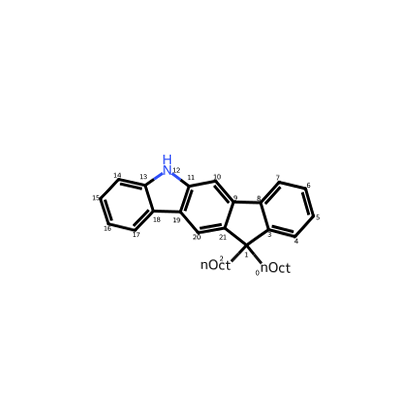 CCCCCCCCC1(CCCCCCCC)c2ccccc2-c2cc3[nH]c4ccccc4c3cc21